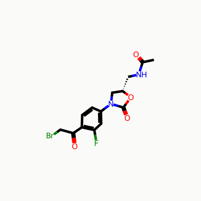 CC(=O)NC[C@H]1CN(c2ccc(C(=O)CBr)c(F)c2)C(=O)O1